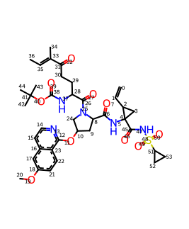 C=CC1CC1(NC(=O)C1CC(Oc2nccc3cc(OC)ccc23)CN1C(=O)C(CCC(=O)C(C)=CC)NC(=O)OC(C)(C)C)C(=O)NS(=O)(=O)C1CC1